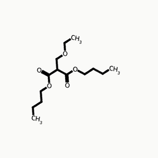 CCCCOC(=O)C(COCC)C(=O)OCCCC